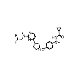 C[C@H](NC(=O)C1CC1)c1ccc(O[C@@H]2CCN(c3ccnc(N(C)CC(F)F)n3)C2)cc1